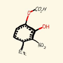 CCc1ccc(OC(=O)O)c(O)c1[N+](=O)[O-]